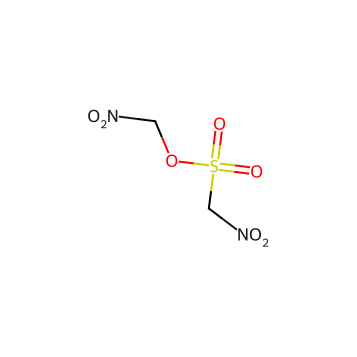 O=[N+]([O-])COS(=O)(=O)C[N+](=O)[O-]